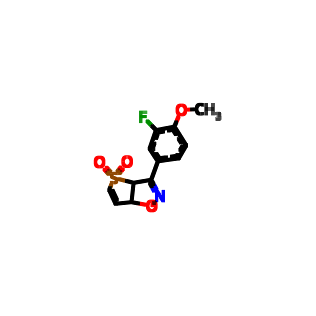 COc1ccc(C2=NOC3C=CS(=O)(=O)C23)cc1F